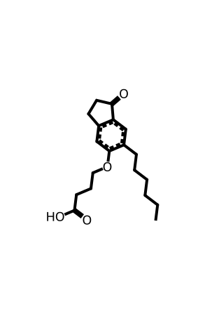 CCCCCCc1cc2c(cc1OCCCC(=O)O)CCC2=O